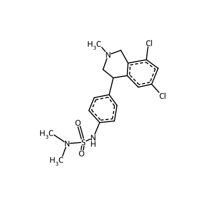 CN1Cc2c(Cl)cc(Cl)cc2C(c2ccc(NS(=O)(=O)N(C)C)cc2)C1